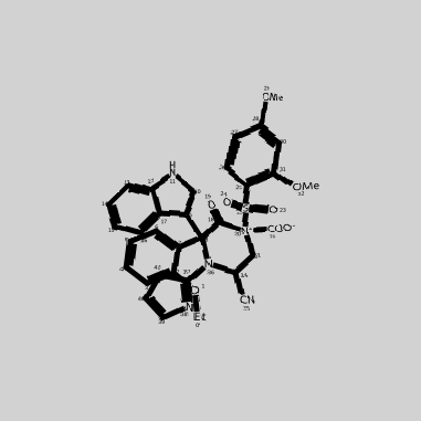 CCOc1ccccc1C1(C2CNc3ccccc32)C(=O)[N+](C(=O)[O-])(S(=O)(=O)c2ccc(OC)cc2OC)CC(C#N)N1c1nccs1